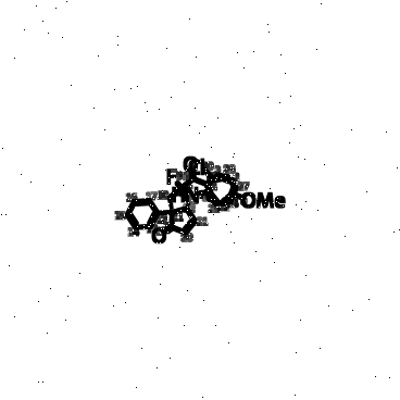 COc1ccc(C(=O)C(F)(F)C[C@]2(c3ccccc3)C(=O)C=C[C@H]2Nc2ccccc2Cl)cc1